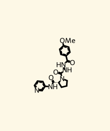 COc1ccc(C(=O)NNC(=O)N2CCC[C@@H]2C(=O)Nc2cccnc2)cc1